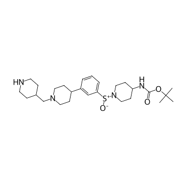 CC(C)(C)OC(=O)NC1CCN([S+]([O-])c2cccc(C3CCN(CC4CCNCC4)CC3)c2)CC1